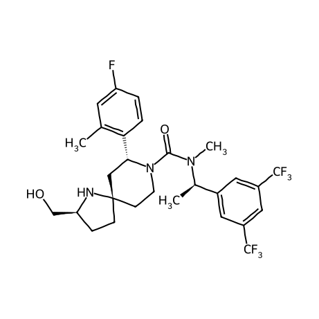 Cc1cc(F)ccc1[C@H]1C[C@]2(CC[C@@H](CO)N2)CCN1C(=O)N(C)[C@H](C)c1cc(C(F)(F)F)cc(C(F)(F)F)c1